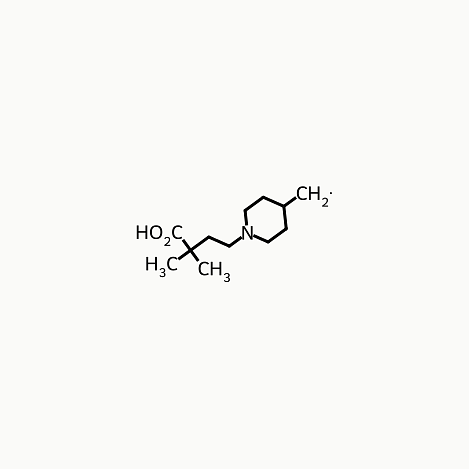 [CH2]C1CCN(CCC(C)(C)C(=O)O)CC1